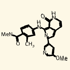 CNC(=O)c1ccc(Nc2nc(-c3cncc(OC)c3)cc3cc[nH]c(=O)c23)cc1C